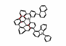 c1ccc(-c2ccc(-c3cccc4ccccc34)cc2N(c2ccc(-c3cccc4c3c3ccccc3n4-c3ccccc3)cc2)c2ccccc2-c2cccc3cccc(-c4ccccc4)c23)cc1